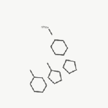 C1CCCC1.C1CCCCC1.CC1CCCC1.CC1CCCCC1.CCCCCCC